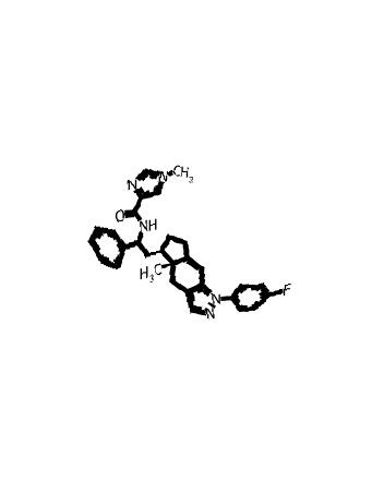 Cn1cnc(C(=O)NC(C[C@H]2CCC3=Cc4c(cnn4-c4ccc(F)cc4)C[C@@]32C)c2ccccc2)c1